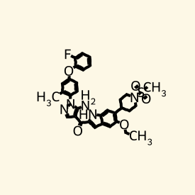 CCOc1cc2cc(C(=O)c3cnn(-c4ccc(Oc5ccccc5F)cc4C)c3N)[nH]c2cc1C1CCN(S(C)(=O)=O)CC1